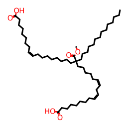 CCCCCCCCCCCCCCC(CCCCC/C=C\C/C=C\CCCCCCCC(=O)O)(CCCCCCCC/C=C\CCCCCCCC(=O)O)C(=O)OC